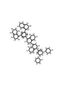 c1ccc(-c2cc(-c3ccccc3)nc(-c3ccc(-c4ccc(-c5nc(-c6cccc7ccccc67)nc(-c6cccc7ccccc67)n5)c5ccccc45)c4ccccc34)n2)cc1